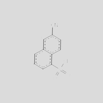 N#Cc1ccc2c(S(=O)(=O)Cl)cccc2c1